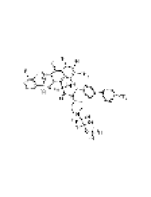 [2H]c1c(C)c([2H])c2c(c1[2H])c(=O)c([2H])c(SC([2H])([2H])c1cccc(F)c1F)n2C([2H])([2H])C(=O)N(Cc1ccc(-c2ccc(C(F)(F)F)cc2)cc1)C1CCN(C([2H])([2H])C([2H])([2H])OC([2H])([2H])[2H])CC1